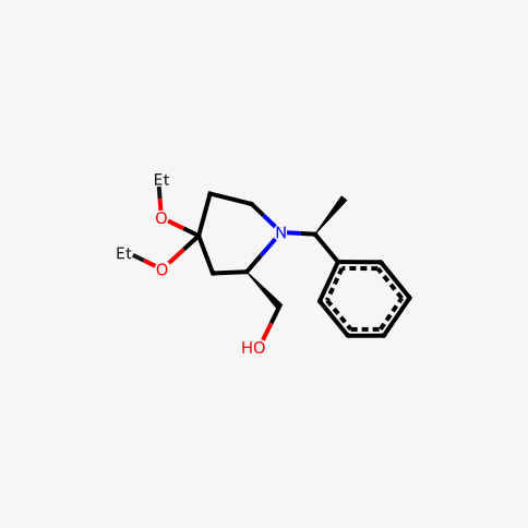 CCOC1(OCC)CCN([C@@H](C)c2ccccc2)[C@@H](CO)C1